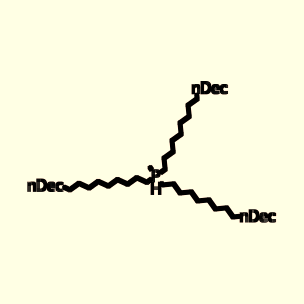 CCCCCCCCCCCCCCCCCCC[PH](C)(CCCCCCCCCCCCCCCCCCC)CCCCCCCCCCCCCCCCCCC